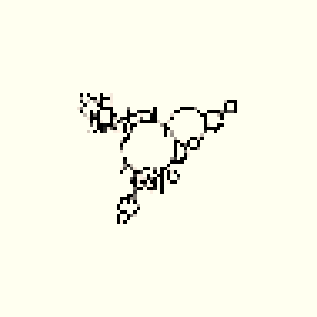 CO[C@@]1(CN2CCN3CCOC[C@@H]3C2)/C=C/CC(C)C(CCN2CCOCC2)S(=O)(=O)NC(=O)c2ccc3c(c2)N(CCCCc2cc(Cl)ccc2CO3)C[C@@H]2CC[C@H]21